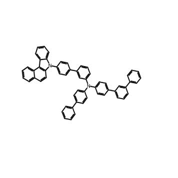 c1ccc(-c2ccc(N(c3ccc(-c4cccc(-c5ccccc5)c4)cc3)c3cccc(-c4ccc(-n5c6ccccc6c6c7ccccc7ccc65)cc4)c3)cc2)cc1